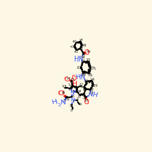 CCN(CC)C(C(N)=O)n1c(C)c(C(=O)O)c(C)c1C=C1C(=O)Nc2ccc(Nc3cccc(NC(=O)c4ccccc4)c3)cc21